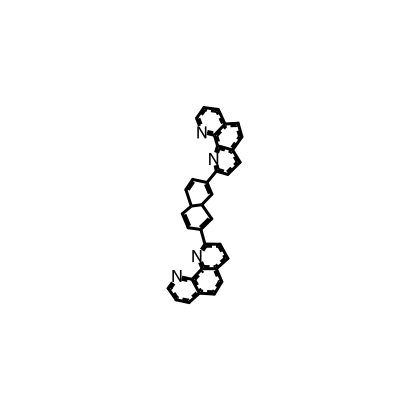 C1=CC2C=CC(c3ccc4ccc5cccnc5c4n3)=CC2C=C1c1ccc2ccc3cccnc3c2n1